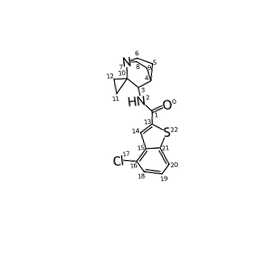 O=C(NC1C2CCN(CC2)C12CC2)c1cc2c(Cl)cccc2s1